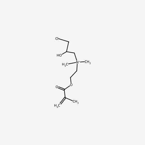 C=C(C)C(=O)OCC[N+](C)(C)CC(O)CCl